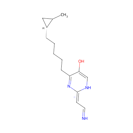 CC1C[C@H]1CCCCCC1=N/C(=C/C=N)NC=C1O